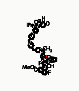 C#Cc1c(F)ccc2cc(OCOC)cc(-c3ncc4c(N5CC6CCC(C5)N6C(=O)OC(C)(C)C)nc(OC[C@H](C)N5CCC(CC6CCN(CC7CCN(c8ccc9c(c8)n(C(C)C)c(=O)n9C8CCC(=O)NC8=O)CC7)CC6)CC5)nc4c3F)c12